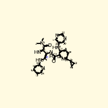 CN(C)C(=O)C(=N)/C(=C\Nc1ccccn1)NC(=O)c1nc(C2CC2)ccc1Nc1cncnc1